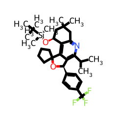 CC(C)c1nc2c(c3c1[C@@H](c1ccc(C(F)(F)F)cc1)OC31CCCC1)[C@@H](O[Si](C)(C)C(C)(C)C)CC(C)(C)C2